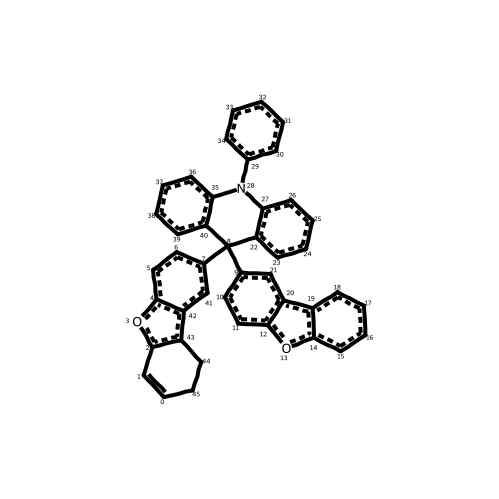 C1=Cc2oc3ccc(C4(c5ccc6oc7ccccc7c6c5)c5ccccc5N(c5ccccc5)c5ccccc54)cc3c2CC1